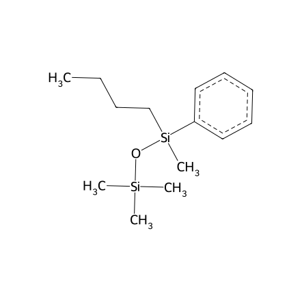 CCCC[Si](C)(O[Si](C)(C)C)c1ccccc1